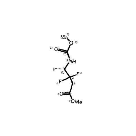 COC(=O)CC(F)(F)[C@H](C)NC(=O)OC(C)(C)C